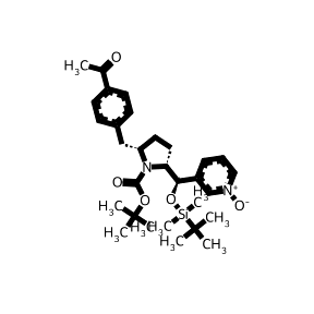 CC(=O)c1ccc(C[C@@H]2CC[C@H]([C@H](O[Si](C)(C)C(C)(C)C)c3ccc[n+]([O-])c3)N2C(=O)OC(C)(C)C)cc1